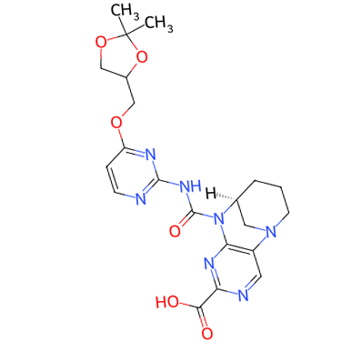 CC1(C)OCC(COc2ccnc(NC(=O)N3c4nc(C(=O)O)ncc4N4CCC[C@H]3C4)n2)O1